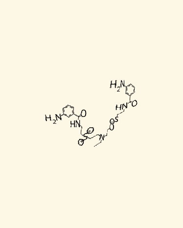 CCN(CCOOSCCNC(=O)c1cccc(N)c1)CCS(=O)(=O)CCNC(=O)c1cccc(N)c1